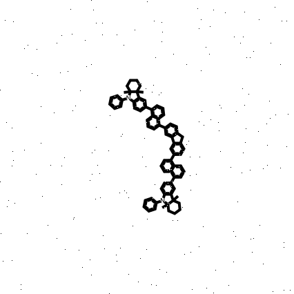 CC12CCCCC1(C)N(c1ccccc1)c1ccc(-c3cccc4c(-c5ccc6c(c5)-c5cc(-c7cccc8c(-c9ccc%10c(c9)C9(C)CCCCC9(C)N%10c9ccccc9)cccc78)ccc5C6)cccc34)cc12